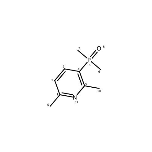 Cc1ccc(P(C)(C)=O)c(C)n1